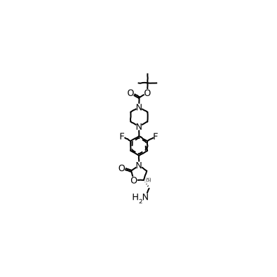 CC(C)(C)OC(=O)N1CCN(c2c(F)cc(N3C[C@H](CN)OC3=O)cc2F)CC1